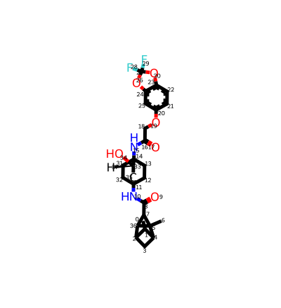 CC1C2CC1C1(C)C(C(=O)NC34CCC(NC(=O)COc5ccc6c(c5)OC(F)(F)O6)(CC3)[C@@H](O)C4)C21